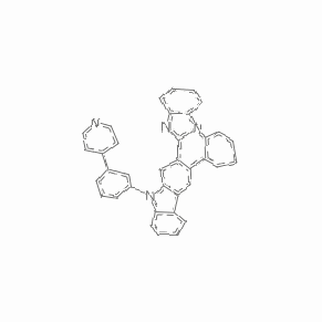 c1cc(-c2ccncc2)cc(-n2c3ccccc3c3cc4c5ccccc5n5c6ccccc6nc5c4cc32)c1